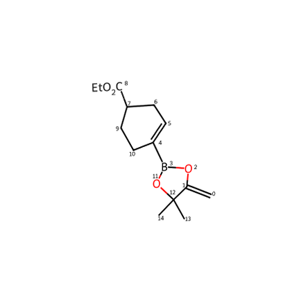 C=C1OB(C2=CCC(C(=O)OCC)CC2)OC1(C)C